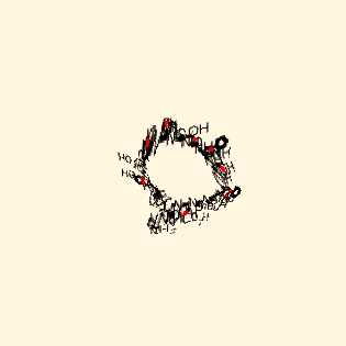 CCCC[C@H]1C(=O)N(C)[C@@H](CCCC)C(=O)N[C@@H](CCC(=O)O)C(=O)N[C@H](C(=O)NCC(N)=O)CSCC(=O)N[C@@H](Cc2ccc(O)cc2)C(=O)N(C)[C@@H](C)C(=O)N[C@@H](CC(=O)O)C(=O)N2CCC[C@H]2C(=O)N[C@@H](CO)C(=O)N[C@@H](CC(C)C)C(=O)N2C[C@H](O)C[C@H]2C(=O)N[C@@H](Cc2c[nH]c3ccccc23)C(=O)N[C@@H](CO)C(=O)N[C@@H](Cc2c[nH]c3ccccc23)C(=O)N1C